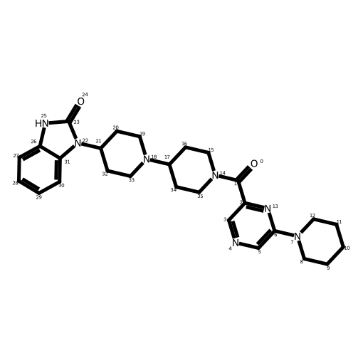 O=C(c1cncc(N2CCCCC2)n1)N1CCC(N2CCC(n3c(=O)[nH]c4ccccc43)CC2)CC1